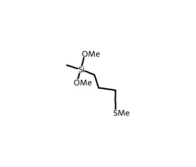 CO[Si](C)(CCCSC)OC